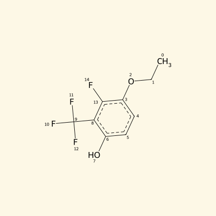 CCOc1ccc(O)c(C(F)(F)F)c1F